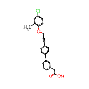 Cc1cc(Cl)ccc1OCC#Cc1ccc(-c2cccc(CC(=O)O)c2)cc1